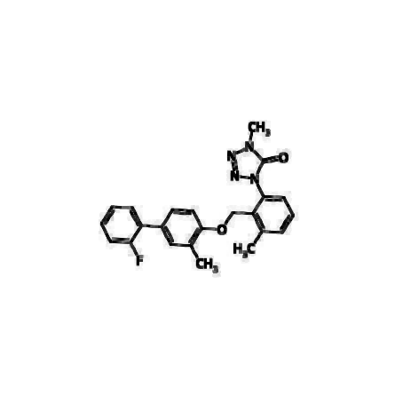 Cc1cc(-c2ccccc2F)ccc1OCc1c(C)cccc1-n1nnn(C)c1=O